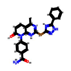 Cc1nc(Sc2n[nH]c(-c3ccccc3)n2)nc2c1ccc(=O)n2-c1ccc(C(N)=O)cc1